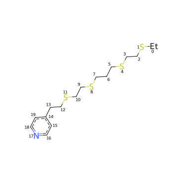 CCSCCSCCCSCCSCCc1ccncc1